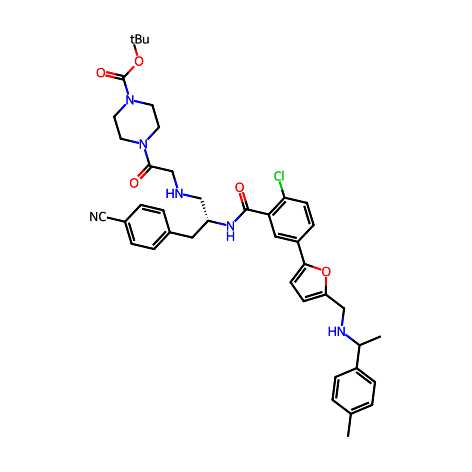 Cc1ccc(C(C)NCc2ccc(-c3ccc(Cl)c(C(=O)N[C@@H](CNCC(=O)N4CCN(C(=O)OC(C)(C)C)CC4)Cc4ccc(C#N)cc4)c3)o2)cc1